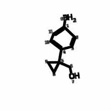 Bc1ccc(C2(CO)CC2)cc1